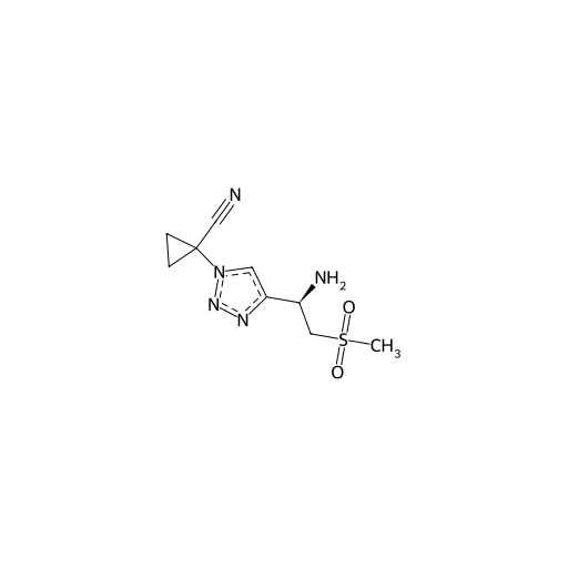 CS(=O)(=O)C[C@H](N)c1cn(C2(C#N)CC2)nn1